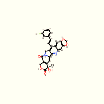 CC[C@@]1(O)C(=O)OCc2c1cc1n(c2=O)Cc2c-1nc1cc3c(cc1c2C=Cc1cccc(F)c1)OCO3